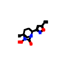 N#Cc1cc([C@@H]2CC[C@@H]3CN2C(=O)N3O)no1